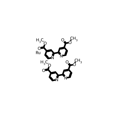 COC(=O)c1ccnc(-c2cc(C(=O)OC)ccn2)c1.COC(=O)c1ccnc(-c2cc(C(=O)OC)ccn2)c1.[Ru]